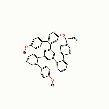 CCOc1ccc(-c2ccccc2-c2cc(-c3ccccc3-c3ccc(OCC)cc3)cc(-c3ccccc3-c3ccc(C(C)O)cc3)c2)cc1